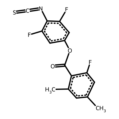 Cc1cc(C)c(C(=O)Oc2cc(F)c(N=C=S)c(F)c2)c(F)c1